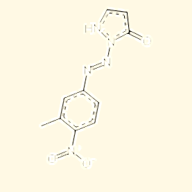 Cc1cc(/N=N/n2[nH]ccc2=O)ccc1[N+](=O)[O-]